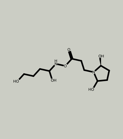 O=C(CCN1C(O)CC[C@@H]1O)ONC(O)CCCO